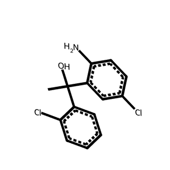 CC(O)(c1cc(Cl)ccc1N)c1ccccc1Cl